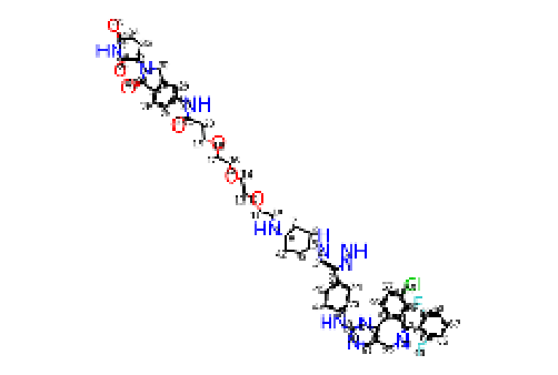 N=N/C(=C\N[C@H]1CC[C@@H](NCCOCCOCCOCCC(=O)Nc2ccc3c(c2)CN(C2CCC(=O)NC2=O)C3=O)CC1)c1ccc(Nc2ncc3c(n2)-c2ccc(Cl)cc2C(c2c(F)cccc2F)=NC3)cc1